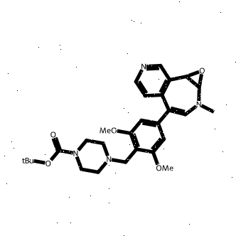 COc1cc(C2=CN(C)C3OC3c3cnccc32)cc(OC)c1CN1CCN(C(=O)OC(C)(C)C)CC1